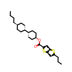 CCCC[C@H]1CC[C@H]([C@H]2CC[C@H](OC(=O)c3cc4sc(CCC)cc4s3)CC2)CC1